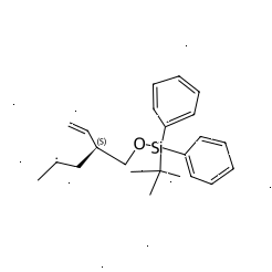 C=C[C@H](C[CH]C)CO[Si](c1ccccc1)(c1ccccc1)C(C)(C)C